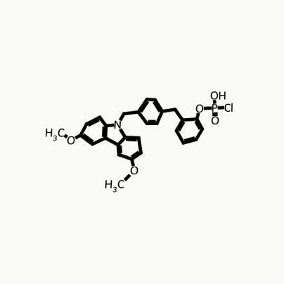 COc1ccc2c(c1)c1cc(OC)ccc1n2Cc1ccc(Cc2ccccc2OP(=O)(O)Cl)cc1